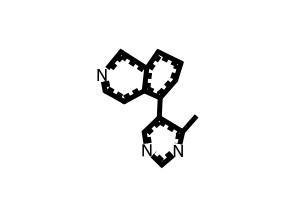 Cc1ncncc1-c1cccc2cnccc12